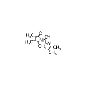 CC1=C(C)C(=O)N(N(C)c2ccc(C)c(C)n2)C1=O